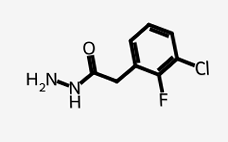 NNC(=O)Cc1cccc(Cl)c1F